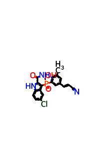 Cc1cc(/C=C/C#N)cc([P@](=O)(CO)c2c(C(N)=O)[nH]c3ccc(Cl)cc23)c1